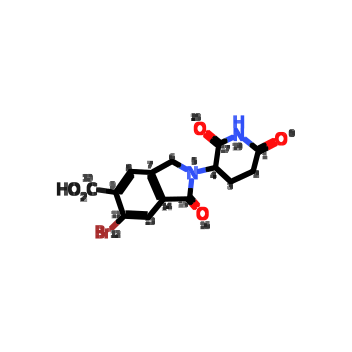 O=C1CCC(N2Cc3cc(C(=O)O)c(Br)cc3C2=O)C(=O)N1